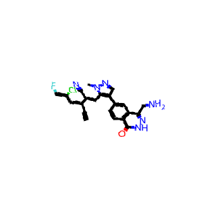 C#CC(=C/C(Cl)=C/F)/C(C#N)=C/c1c(-c2ccc3c(=O)[nH]nc(CN)c3c2)cnn1C